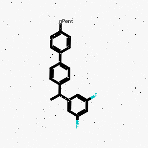 CCCCCc1ccc(-c2ccc(C(C)c3cc(F)cc(F)c3)cc2)cc1